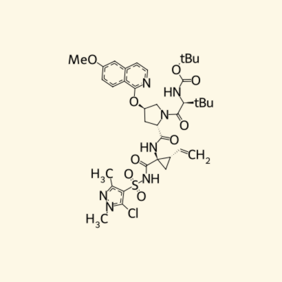 C=C[C@@H]1C[C@]1(NC(=O)[C@@H]1C[C@@H](Oc2nccc3cc(OC)ccc23)CN1C(=O)[C@@H](NC(=O)OC(C)(C)C)C(C)(C)C)C(=O)NS(=O)(=O)c1c(C)nn(C)c1Cl